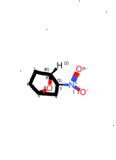 O=[N+]([O-])[C@H]1CC2CC[C@H]1O2